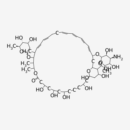 CC1/C=C/C=C/CC/C=C/C=C/C=C/C=C/C(OC2O[C@H](C)C(O)[C@H](N)[C@@H]2O)CC2OC(O)(CC(O)CCCC(O)CC(O)CC(O)CC(=O)OC(C)C(C)C1OC1CC(O)[C@@H](O)[C@H](C)O1)CC(O)C2C(=O)O